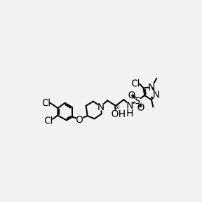 Cc1nn(C)c(Cl)c1S(=O)(=O)NC[C@@H](O)CN1CCC(Oc2ccc(Cl)c(Cl)c2)CC1